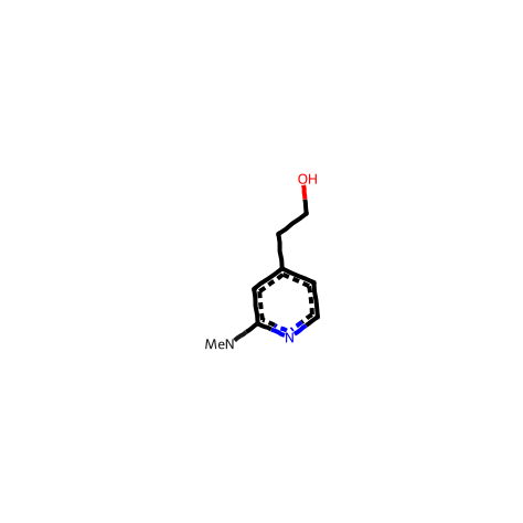 CNc1cc(CCO)ccn1